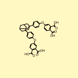 O=C(O)c1ccc(Oc2ccc(C34CC5CC(C3)CC(c3ccc(Oc6ccc(C(=O)O)c(C(=O)O)c6)cc3)(C5)C4)cc2)cc1C(=O)O